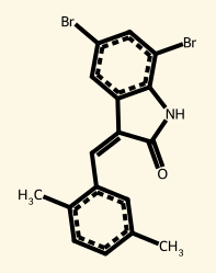 Cc1ccc(C)c(C=C2C(=O)Nc3c(Br)cc(Br)cc32)c1